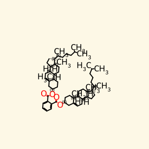 CC(C)CCC[C@@H](C)[C@H]1CC[C@H]2[C@@H]3CC=C4C[C@@H](OC(=O)c5ccccc5C(=O)O[C@H]5CC[C@@]6(C)C(=CC[C@H]7[C@@H]8CC[C@H]([C@H](C)CCCC(C)C)[C@@]8(C)CC[C@@H]76)C5)CC[C@]4(C)[C@H]3CC[C@]12C